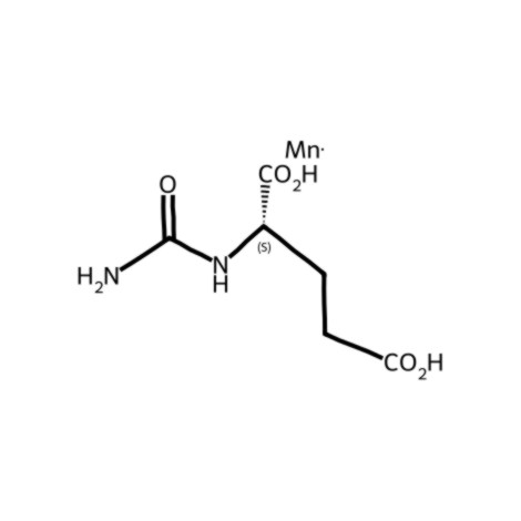 NC(=O)N[C@@H](CCC(=O)O)C(=O)O.[Mn]